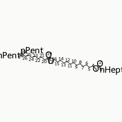 CCCCCCCC(=O)OCCCCCCCCCCCCCOC(=O)CCCCCCCC(CCCCC)CCCCC